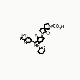 CC(C)Oc1ccc(-c2nn(C3CCCCO3)c3ccc(N4CCC5(CCN(C(=O)O)C5)C4=O)c(F)c23)cn1